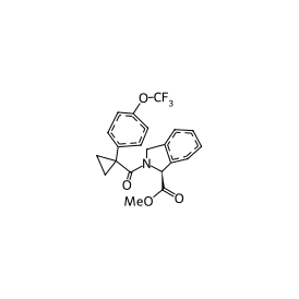 COC(=O)[C@@H]1c2ccccc2CN1C(=O)C1(c2ccc(OC(F)(F)F)cc2)CC1